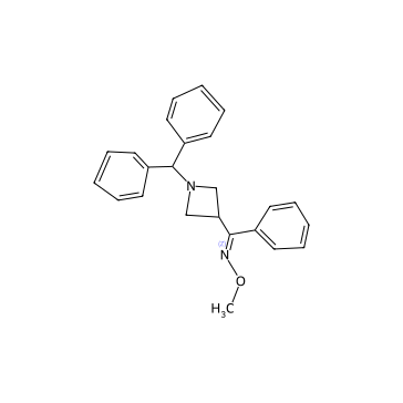 CO/N=C(\c1ccccc1)C1CN(C(c2ccccc2)c2ccccc2)C1